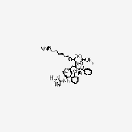 [N-]=[N+]=NCCCCCCOC(=O)N(OC(=O)C(F)(F)F)C(Cc1ccc(NC(=N)N)cc1)P(=O)(Oc1ccccc1)Oc1ccccc1